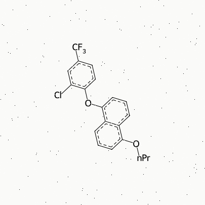 CCCOc1cccc2c(Oc3ccc(C(F)(F)F)cc3Cl)cccc12